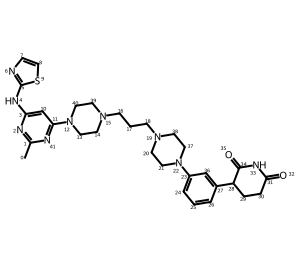 Cc1nc(Nc2nccs2)cc(N2CCN(CCCN3CCN(c4cccc(C5CCC(=O)NC5=O)c4)CC3)CC2)n1